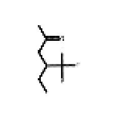 CCC(CC(C)=O)C(F)(F)F